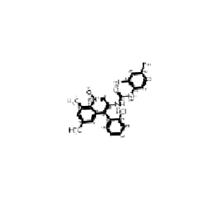 Cc1cc(C)c2c(c1)c(-c1ccccc1Cl)c(NC(=O)Nc1ccc(F)cc1F)c[n+]2[O-]